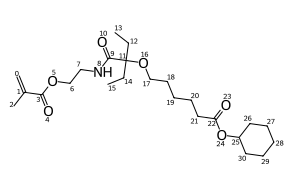 C=C(C)C(=O)OCCNC(=O)C(CC)(CC)OCCCCCC(=O)OC1CCCCC1